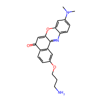 CN(C)c1ccc2nc3c4cc(OCCCN)ccc4c(=O)cc-3oc2c1